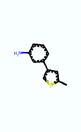 Cc1cc(-c2cccc(N)c2)cs1